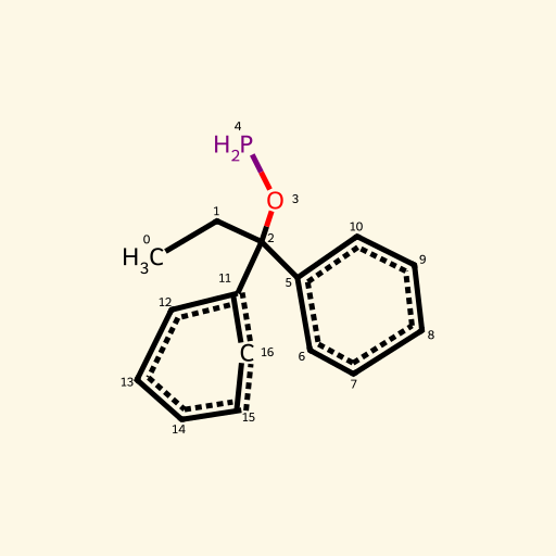 CCC(OP)(c1ccccc1)c1ccccc1